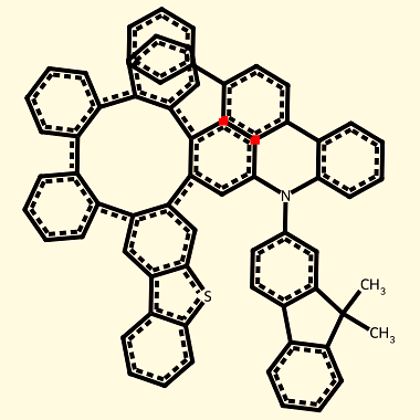 CC1(C)c2ccccc2-c2ccc(N(c3ccc4c5ccccc5c5ccccc5c5ccccc5c5cc6c(cc5c4c3)sc3ccccc36)c3ccccc3-c3ccc(-c4ccccc4)cc3)cc21